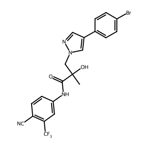 CC(O)(Cn1cc(-c2ccc(Br)cc2)cn1)C(=O)Nc1ccc(C#N)c(C(F)(F)F)c1